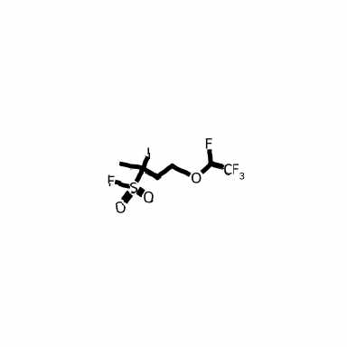 CC(I)(CCOC(F)C(F)(F)F)S(=O)(=O)F